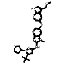 COCc1c[nH]c2ncc(Oc3cnc4nc(Nc5cc(C(C)(C)C)n(C6CCOC6)n5)n(C)c4c3)cc12